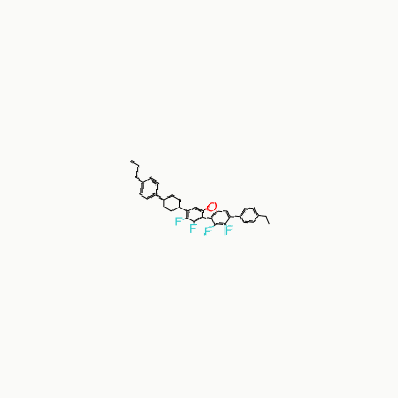 CCCc1ccc(C2CCC(c3cc4oc5cc(-c6ccc(CC)cc6)c(F)c(F)c5c4c(F)c3F)CC2)cc1